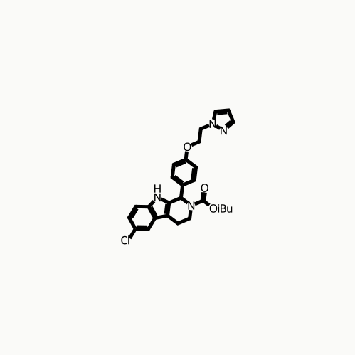 CC(C)COC(=O)N1CCc2c([nH]c3ccc(Cl)cc23)C1c1ccc(OCCn2cccn2)cc1